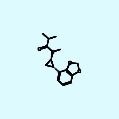 CC(C)C(=O)N(C)[C@@H]1C[C@H]1c1cccc2c1OCO2